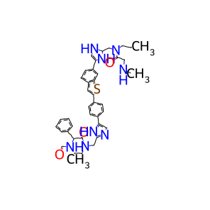 CCCN(CC1NC=C(c2ccc3cc(-c4ccc(-c5cnc(CN(CCC)C(=O)C(NC=O)c6ccccc6)[nH]5)cc4)sc3c2)N1)C(=O)CNC